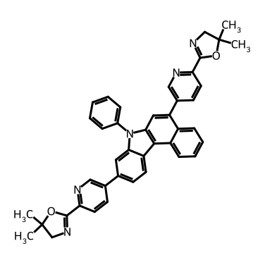 CC1(C)CN=C(c2ccc(-c3ccc4c5c6ccccc6c(-c6ccc(C7=NCC(C)(C)O7)nc6)cc5n(-c5ccccc5)c4c3)cn2)O1